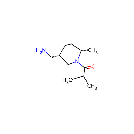 CC(C)C(=O)N1C[C@H](CN)CC[C@@H]1C